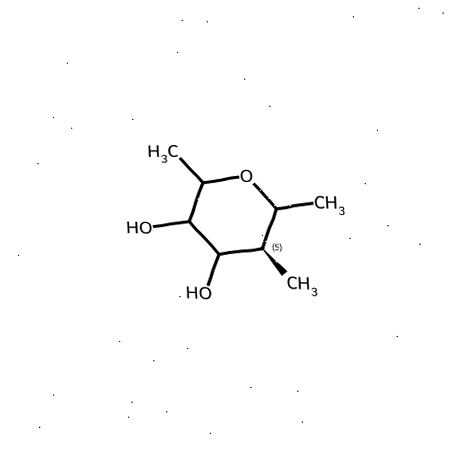 CC1OC(C)[C@@H](C)C(O)C1O